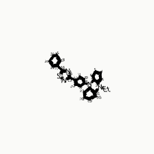 CCN1c2ccccc2N(c2ccc(-c3nsc(-c4ccccc4)n3)cc2)c2ccccc21